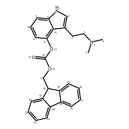 CN(C)CCc1c[nH]c2cccc(OC(=O)OCC3c4ccccc4-c4ccccc43)c12